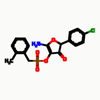 Cc1ccccc1CS(=O)(=O)OC1=C(N)OC(c2ccc(Cl)cc2)C1=O